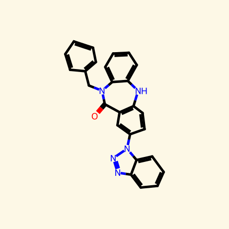 O=C1c2cc(-n3nnc4ccccc43)ccc2Nc2ccccc2N1Cc1ccccc1